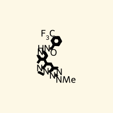 CNc1ncc2c(n1)N1CCN=C1C(c1cc(NC(=O)c3cccc(C(F)(F)F)c3)ncc1C)=C2